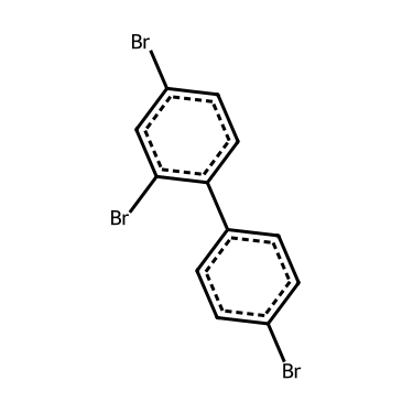 Brc1ccc(-c2ccc(Br)cc2Br)cc1